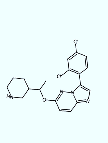 CC(Oc1ccc2ncc(-c3ccc(Cl)cc3Cl)n2n1)C1CCCNC1